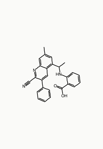 Cc1cc(C(C)Nc2ccccc2C(=O)O)c2cc(-c3ccccc3)c(C#N)nc2c1